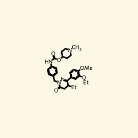 CCOc1cc(C2=NN(Cc3ccc(NC(=O)OC4CCN(C)CC4)cc3)C(=O)CC2CC)ccc1OC